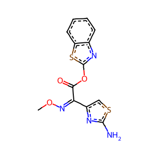 CO/N=C(\C(=O)Oc1nc2ccccc2s1)c1csc(N)n1